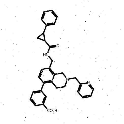 O=C(O)c1cccc(-c2ccc(CNC(=O)C3CC3c3ccccc3)c3c2CCN(Cc2ccccn2)C3)c1